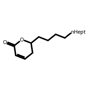 CCCCCCCCCCCC1CC=CC(=O)O1